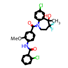 COc1cc(C(=O)N2CCC(F)(F)C(C)(O)c3cc(Cl)ccc32)ccc1NC(=O)c1ccccc1Cl